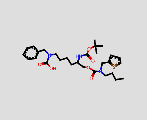 CCCCN(Cc1cccs1)C(=O)OCC(CCCCN(Cc1ccccc1)C(=O)O)NC(=O)OC(C)(C)C